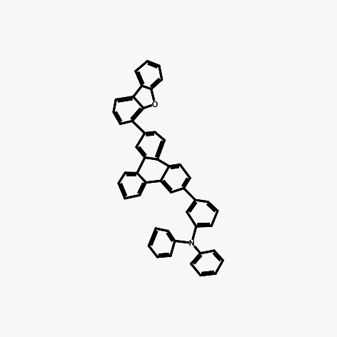 c1ccc(N(c2ccccc2)c2cccc(-c3ccc4c5ccc(-c6cccc7c6oc6ccccc67)cc5c5ccccc5c4c3)c2)cc1